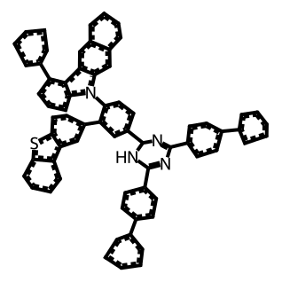 c1ccc(-c2ccc(C3=NC(c4ccc(-n5c6cc7ccccc7cc6c6c(-c7ccccc7)cccc65)c(-c5ccc6sc7ccccc7c6c5)c4)NC(c4ccc(-c5ccccc5)cc4)=N3)cc2)cc1